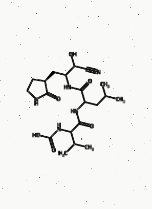 CC(C)CC(NC(=O)C(NC(=O)O)C(C)C)C(=O)NC(C[C@@H]1CCNC1=O)C(O)C#N